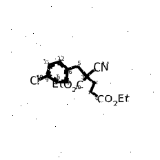 CCOC(=O)CCC(C#N)(Cc1ccc(Cl)cc1)C(=O)OCC